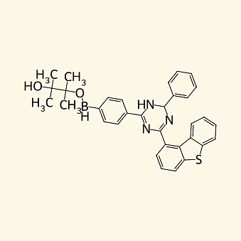 CC(C)(O)C(C)(C)OBc1ccc(C2=NC(c3cccc4sc5ccccc5c34)=NC(c3ccccc3)N2)cc1